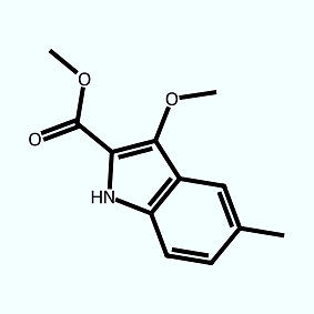 COC(=O)c1[nH]c2ccc(C)cc2c1OC